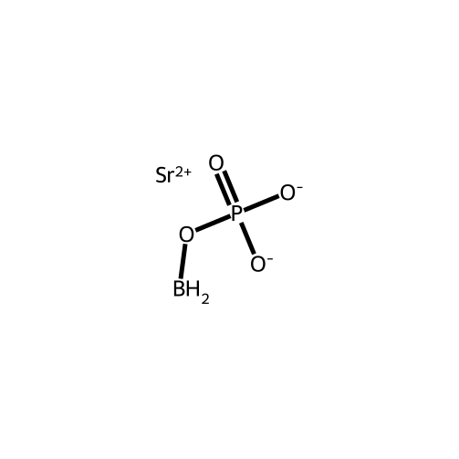 BOP(=O)([O-])[O-].[Sr+2]